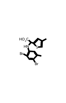 Cc1csc(C(Nc2cc(C)c(Br)cc2Br)C(=O)O)c1